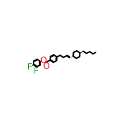 CCCCC[C@H]1CC[C@H](/C=C/CCc2ccc(C(=O)Oc3ccc(F)c(F)c3)cc2)CC1